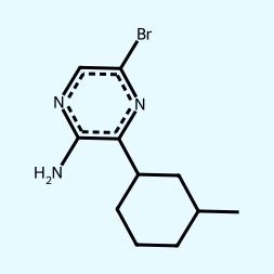 CC1CCCC(c2nc(Br)cnc2N)C1